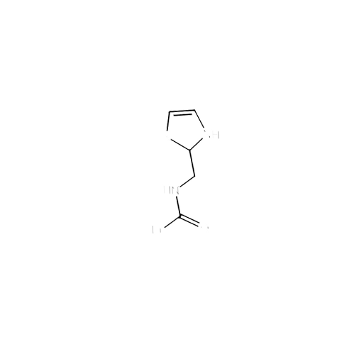 CCC(=O)NCC1NC=CS1